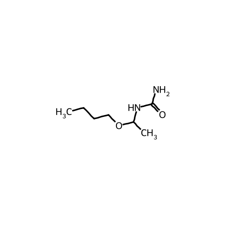 CCCCOC(C)NC(N)=O